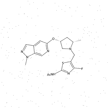 CC(=O)Nc1nc(F)c(CN2C[C@H](Oc3cc4cnn(C)c4cn3)C[C@@H]2C)s1